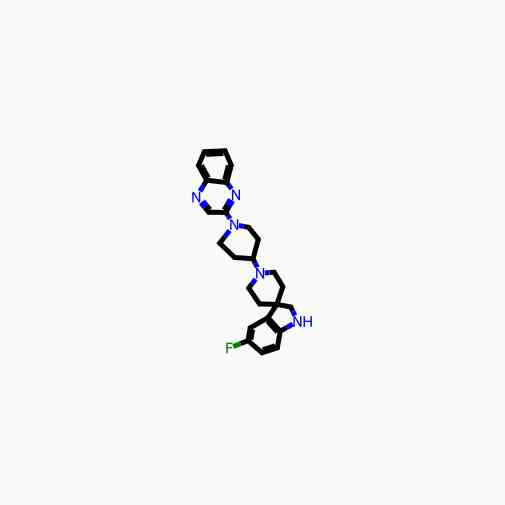 Fc1ccc2c(c1)C1(CCN(C3CCN(c4cnc5ccccc5n4)CC3)CC1)CN2